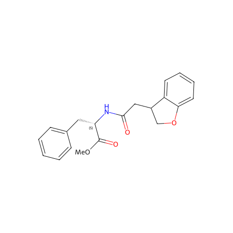 COC(=O)[C@H](Cc1ccccc1)NC(=O)CC1COc2ccccc21